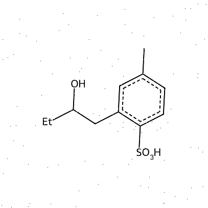 CCC(O)Cc1cc(C)ccc1S(=O)(=O)O